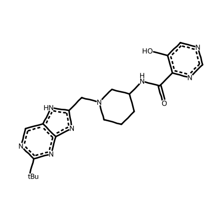 CC(C)(C)c1ncc2[nH]c(CN3CCCC(NC(=O)c4ncncc4O)C3)nc2n1